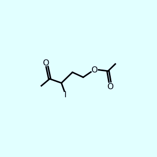 CC(=O)OCCC(I)C(C)=O